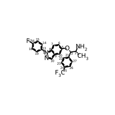 C[C@H](N)[C@H](Oc1ccc2c(cnn2-c2ccc(F)cc2)c1)c1ccc(C(F)(F)F)cc1